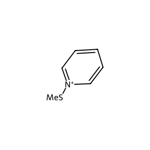 CS[n+]1ccccc1